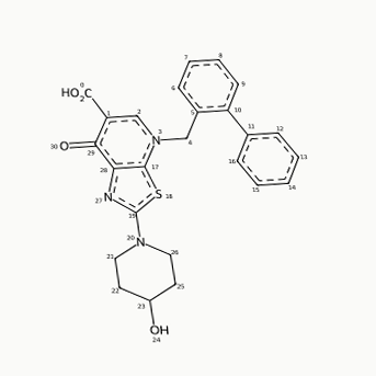 O=C(O)c1cn(Cc2ccccc2-c2ccccc2)c2sc(N3CCC(O)CC3)nc2c1=O